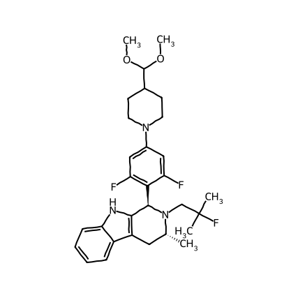 COC(OC)C1CCN(c2cc(F)c([C@@H]3c4[nH]c5ccccc5c4C[C@@H](C)N3CC(C)(C)F)c(F)c2)CC1